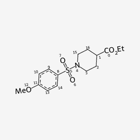 CCOC(=O)C1CCN(S(=O)(=O)c2ccc(OC)cc2)CC1